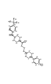 O=C(CCCN1CCN(c2ccc(Cl)cc2)CC1)N1CCC(Nc2ccc(C(F)(F)F)cn2)CC1